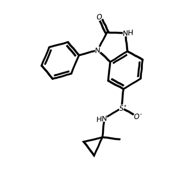 CC1(N[S+]([O-])c2ccc3[nH]c(=O)n(-c4ccccc4)c3c2)CC1